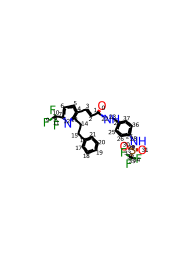 O=C(C=Cc1ccc(C(F)(F)F)nc1CCc1ccccc1)NCc1ccc(NS(=O)(=O)C(F)(F)F)cc1